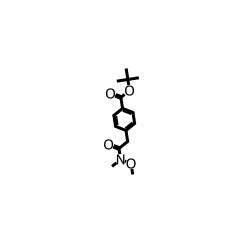 CON(C)C(=O)Cc1ccc(C(=O)OC(C)(C)C)cc1